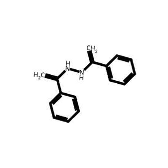 C=C(NNC(=C)c1ccccc1)c1ccccc1